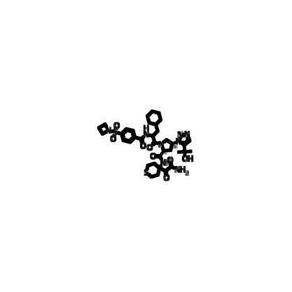 CC(C)(O)c1cnnn1[C@H]1C[C@@H](C(=O)NC2(C(=O)C(N)=O)CCSCC2)N(C(=O)C(CC2CCCCC2)NC(=O)c2ccc(S(=O)(=O)N3CCC3)cc2)C1